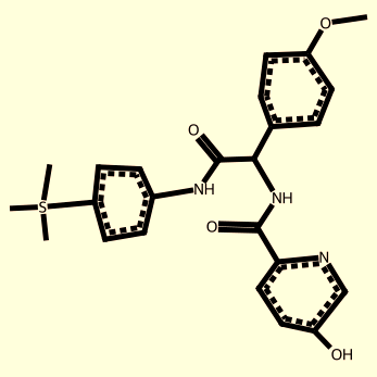 COc1ccc(C(NC(=O)c2ccc(O)cn2)C(=O)Nc2ccc(S(C)(C)C)cc2)cc1